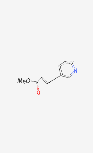 COC(=O)C=Cc1cc[c]nc1